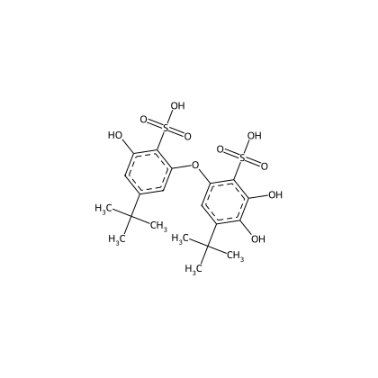 CC(C)(C)c1cc(O)c(S(=O)(=O)O)c(Oc2cc(C(C)(C)C)c(O)c(O)c2S(=O)(=O)O)c1